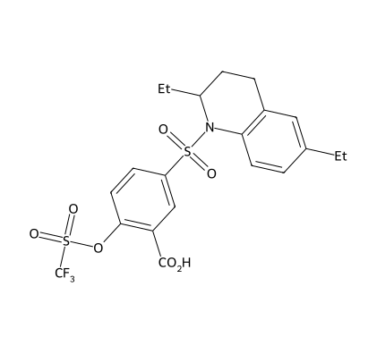 CCc1ccc2c(c1)CCC(CC)N2S(=O)(=O)c1ccc(OS(=O)(=O)C(F)(F)F)c(C(=O)O)c1